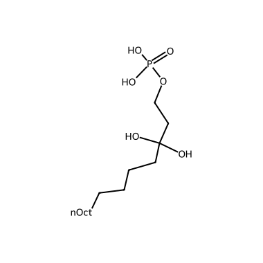 CCCCCCCCCCCCC(O)(O)CCOP(=O)(O)O